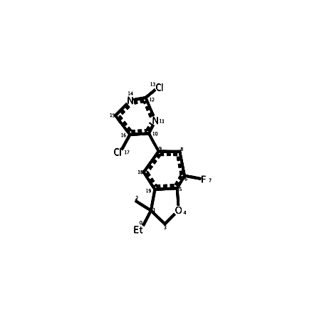 CCC1(C)COc2c(F)cc(-c3nc(Cl)ncc3Cl)cc21